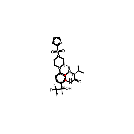 CC(C)[C@@H]1C(=O)NCCN1C[C@H]1CN(S(=O)(=O)c2cccs2)CCN1c1ccc([C@](C)(O)C(F)(F)F)cc1